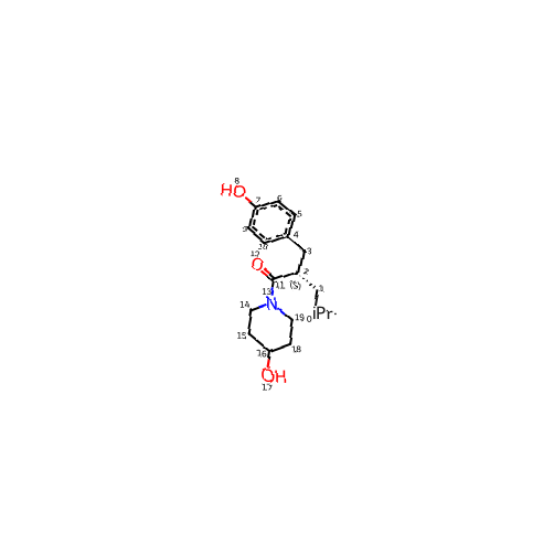 C[C](C)C[C@@H](Cc1ccc(O)cc1)C(=O)N1CCC(O)CC1